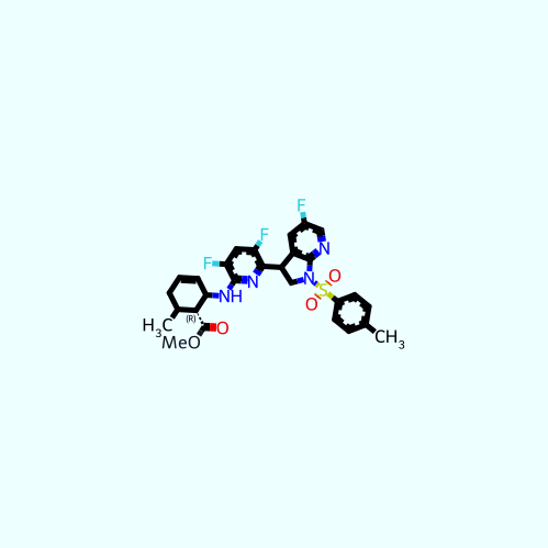 COC(=O)[C@@H]1C(C)CC=CC1Nc1nc(C2CN(S(=O)(=O)c3ccc(C)cc3)c3ncc(F)cc32)c(F)cc1F